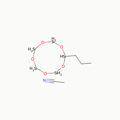 CC#N.CCC[SiH]1O[SiH2]O[SiH2]O[SiH2]O[SiH2]O1